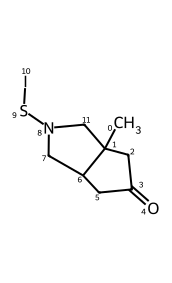 CC12CC(=O)CC1CN(SI)C2